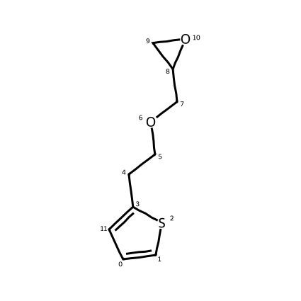 c1csc(CCOCC2CO2)c1